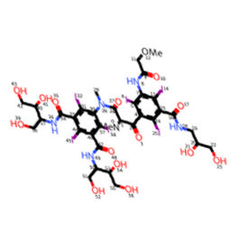 CNC(C(=O)c1c(I)c(NC(=O)COC)c(I)c(C(=O)NCC(O)CO)c1I)C(=O)N(C)c1c(I)c(C(=O)NC(CO)C(O)CO)c(I)c(C(=O)NC(CO)C(O)CO)c1I